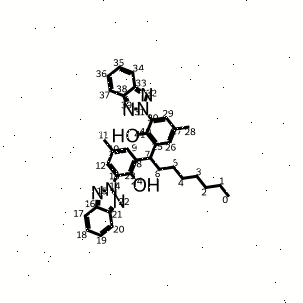 CCCCCCCC(c1cc(C)cc(-n2nc3ccccc3n2)c1O)c1cc(C)cc(-n2nc3ccccc3n2)c1O